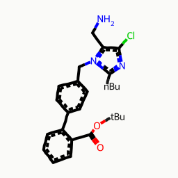 CCCCc1nc(Cl)c(CN)n1Cc1ccc(-c2ccccc2C(=O)OC(C)(C)C)cc1